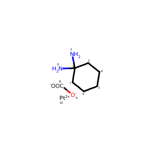 NC1(N)CCCCC1.O=C([O-])[O-].[Pt+2]